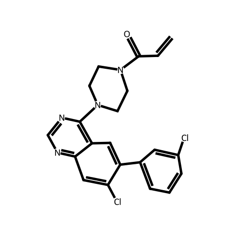 C=CC(=O)N1CCN(c2ncnc3cc(Cl)c(-c4cccc(Cl)c4)cc23)CC1